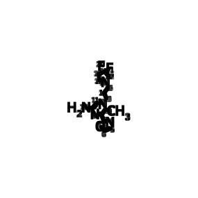 CC1C(c2ncco2)=NC(N)=CN1CCCN1CCC(F)(F)C1